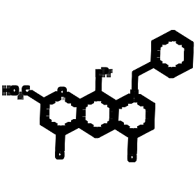 CCCc1c2oc(C(=O)O)cc(=O)c2cc2c(=O)ccn(Cc3ccccc3)c12